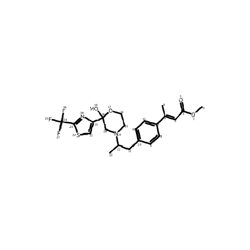 COC(=O)/C=C(\C)c1ccc(CC(C)N2CCOC(O)(c3csc(C(F)(F)F)n3)C2)cc1